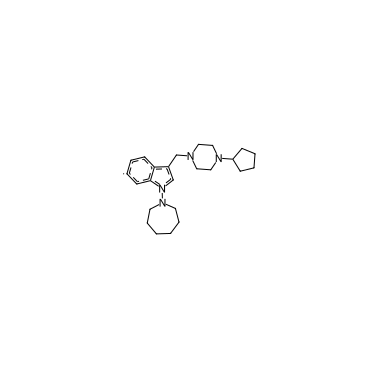 [c]1ccc2c(CN3CCN(C4CCCC4)CC3)cn(N3CCCCCC3)c2c1